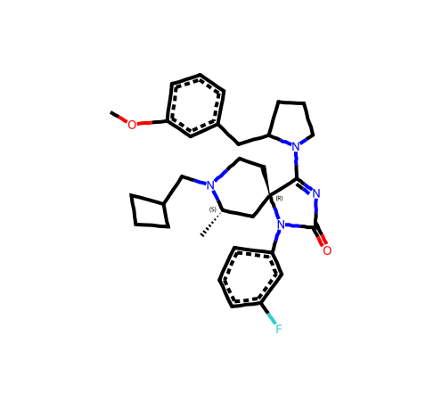 COc1cccc(CC2CCCN2C2=NC(=O)N(c3cccc(F)c3)[C@@]23CCN(CC2CCC2)[C@@H](C)C3)c1